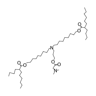 CCCCCCC(CCCC)C(=O)OCCCCCCCCCN(CCCCCCCCCOC(=O)C(CCCC)CCCCCC)CCCOC(=O)CN(C)C